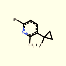 Cc1nc(C(C)C)ccc1C1(C)CC1